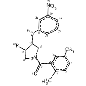 Cc1ccc(C)c(C(=O)N2CC(F)C(Oc3cccc([N+](=O)[O-])c3)C2)c1